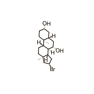 C[C@]12CC[C@H]3[C@@H]([C@@H](O)C[C@H]4C[C@@H](O)CC[C@@]43C)[C@@H]1C[C@@H](Br)C2